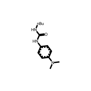 CCCCNC(=O)Nc1ccc(N(C)C)cc1